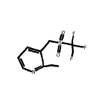 Cc1ncccc1CS(=O)(=O)C(F)(F)F